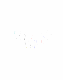 O=C(Cn1cnc2scc(-c3cccc(C(F)(F)F)c3)c2c1=O)N1CCCC1